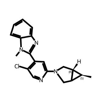 C[C@H]1C2CN(c3cc(-c4nc5ccccc5n4C)c(Cl)cn3)C[C@@H]21